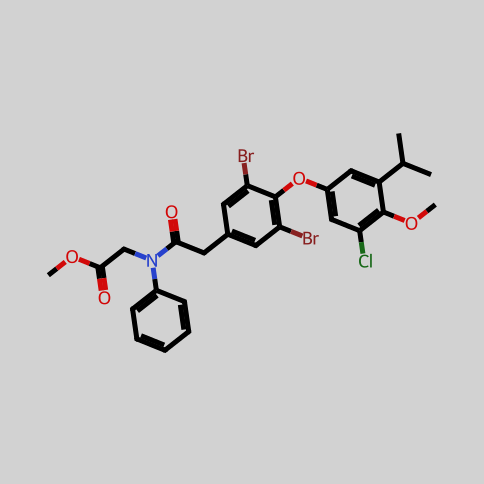 COC(=O)CN(C(=O)Cc1cc(Br)c(Oc2cc(Cl)c(OC)c(C(C)C)c2)c(Br)c1)c1ccccc1